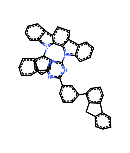 c1ccc(-c2nc(-c3cccc(-c4cccc5c4Cc4ccccc4-5)c3)nc(-n3c4ccccc4c4ccc5c6ccccc6n(-c6ccccc6)c5c43)n2)cc1